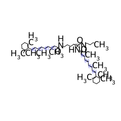 CCCCNC(=O)[C@H](CCCCNC(=O)/C=C(C)/C=C/C=C(C)/C=C/C1=C(C)CCCC1(C)C)NC(=O)/C=C(C)/C=C/C=C(C)/C=C/C1=C(C)CCCC1(C)C